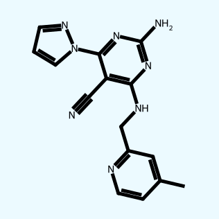 Cc1ccnc(CNc2nc(N)nc(-n3cccn3)c2C#N)c1